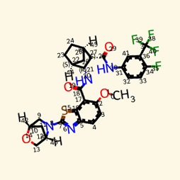 COc1ccc2nc(N3C[C@@H]4C[C@H]3CO4)sc2c1C(=O)N[C@@H]1[C@H]2CC[C@H](C2)[C@@H]1C(=O)Nc1ccc(F)c(C(F)(F)F)c1